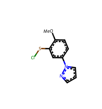 COc1ccc(-n2cccn2)cc1SCl